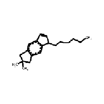 CCCCCC[C]1C=Cc2cc3c(cc21)CC(C)(C)C3